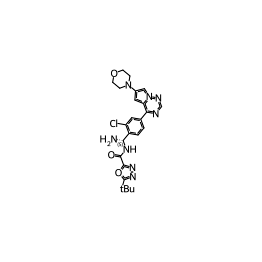 CC(C)(C)c1nnc(C(=O)N[C@H](N)c2ccc(-c3ncnn4cc(N5CCOCC5)cc34)cc2Cl)o1